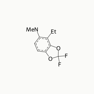 CCc1c(NC)ccc2c1OC(F)(F)O2